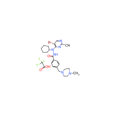 CN1CCN(Cc2ccc(C(=O)NN(c3nc(C#N)ncc3Br)C3CCCCC3)cc2)CC1.O=C(O)C(F)(F)F